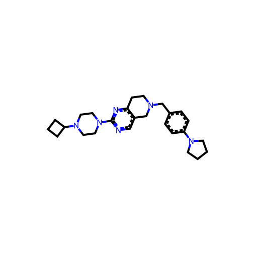 c1cc(N2CCCC2)ccc1CN1CCc2nc(N3CCN(C4CCC4)CC3)ncc2C1